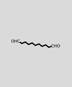 O=[C]CCCCCCCCCC=O